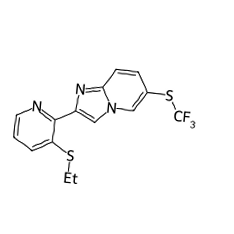 CCSc1cccnc1-c1cn2cc(SC(F)(F)F)ccc2n1